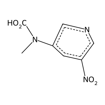 CN(C(=O)O)c1cncc([N+](=O)[O-])c1